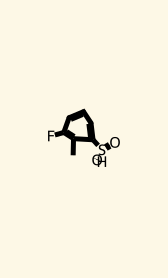 Cc1c(F)cccc1[SH](=O)=O